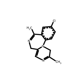 CC1=NC=C2CN=C(C)c3cc(Cl)ccc3N2C1